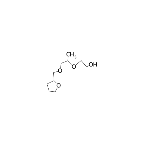 CC(COCC1CCCO1)OCCO